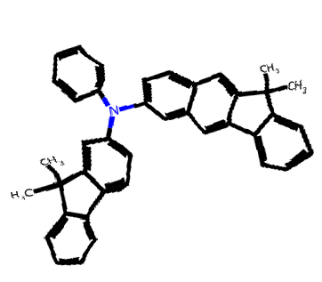 CC1(C)c2ccccc2-c2ccc(N(c3ccccc3)c3ccc4cc5c(cc4c3)-c3ccccc3C5(C)C)cc21